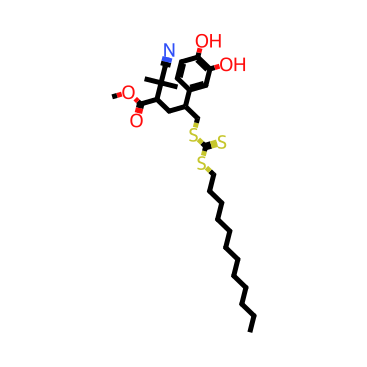 CCCCCCCCCCCCSC(=S)SCC(CC(C(=O)OC)C(C)(C)C#N)c1ccc(O)c(O)c1